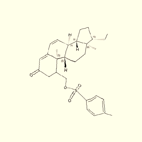 CC[C@H]1CC[C@H]2[C@@H]3C=CC4=CC(=O)CC(COS(=O)(=O)c5ccc(C)cc5)[C@]4(C)[C@H]3CC[C@]12C